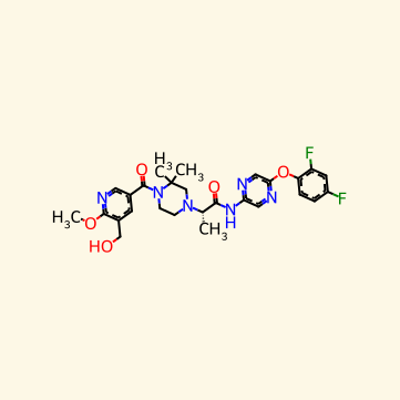 COc1ncc(C(=O)N2CCN([C@@H](C)C(=O)Nc3cnc(Oc4ccc(F)cc4F)cn3)CC2(C)C)cc1CO